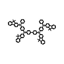 CC1(C)c2ccccc2-c2ccc(N(c3ccccc3)c3ccc(N(c4ccc(-c5ccc(N(c6ccc(N(c7ccccc7)c7ccc8c(c7)C(C)(C)c7ccccc7-8)cc6)c6ccc7c(c6)C(C)(C)c6ccccc6-7)cc5)cc4)c4ccc5c(c4)C(C)(C)c4ccccc4-5)cc3)cc21